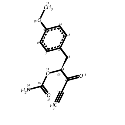 C#CC(=O)[C@H](Cc1ccc(OC)cc1)OC(N)=O